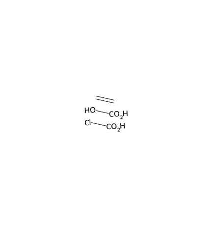 C=C.O=C(O)Cl.O=C(O)O